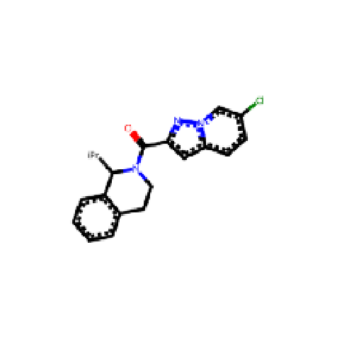 CC(C)C1c2ccccc2CCN1C(=O)c1cc2ccc(Cl)cn2n1